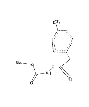 CC(C)(C)OC(=O)NOC(=O)Cc1ccc(C(F)(F)F)cc1